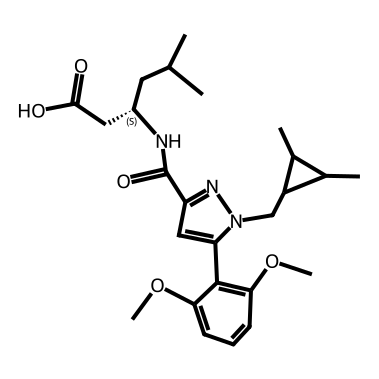 COc1cccc(OC)c1-c1cc(C(=O)N[C@H](CC(=O)O)CC(C)C)nn1CC1C(C)C1C